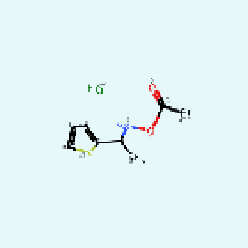 CCC(=O)ONC(C)c1cccs1.Cl